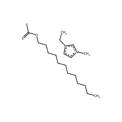 CCCCCCCCCCCCOC(=S)[S-].CCn1cc[n+](C)c1